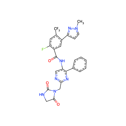 Cn1ccc(-c2cc(C(=O)Nc3cnc(CN4C(=O)CNC4=O)nc3-c3ccccc3)c(F)cc2C(F)(F)F)n1